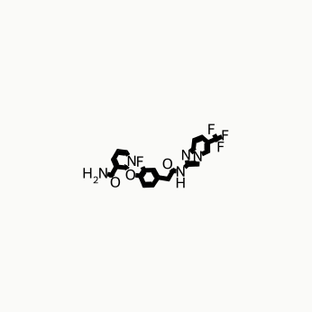 NC(=O)c1cccnc1Oc1ccc(CC(=O)Nc2cn3cc(C(F)(F)F)ccc3n2)cc1F